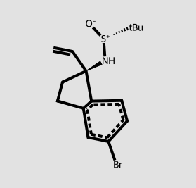 C=C[C@@]1(N[S@+]([O-])C(C)(C)C)CCc2cc(Br)ccc21